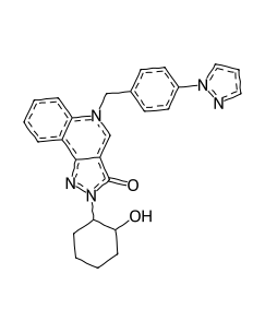 O=c1c2cn(Cc3ccc(-n4cccn4)cc3)c3ccccc3c-2nn1C1CCCCC1O